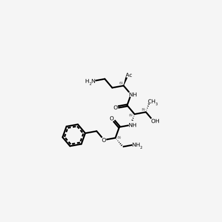 CC(=O)[C@H](CCN)NC(=O)[C@@H](NC(=O)[C@H](CN)OCc1ccccc1)[C@H](C)O